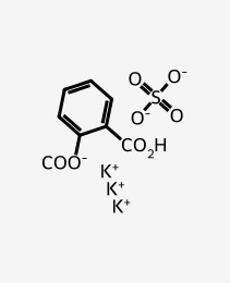 O=C([O-])c1ccccc1C(=O)O.O=S(=O)([O-])[O-].[K+].[K+].[K+]